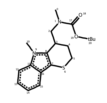 CN(CC1CCSc2c1n(C)c1ccccc21)C(=O)OC(C)(C)C